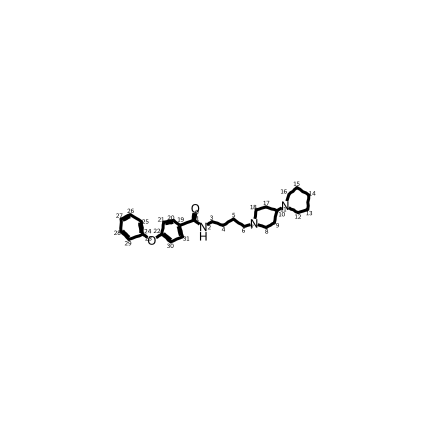 O=C(NCCCCN1CCC(N2CCCCC2)CC1)c1ccc(Oc2ccccc2)cc1